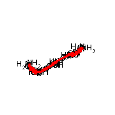 C/C(=C\c1cc(F)c(Oc2ccc(S(=O)(=O)NCCOCCOCCOCCNC(=O)C[C@@H](O)C(=O)NCCOCCOCCOCCNS(=O)(=O)c3ccc(Oc4c(F)cc(/C=C(\C)C(=O)N=C(N)N)cc4F)cc3)cc2)c(F)c1)C(=O)N=C(N)N